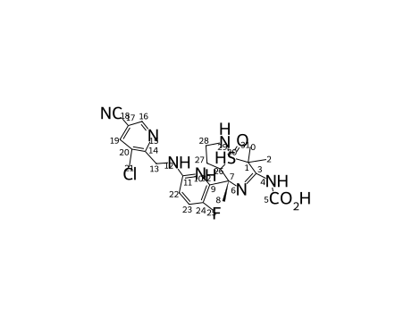 CC1(C)C(NC(=O)O)=N[C@](C)(c2nc(NCc3ncc(C#N)cc3Cl)ccc2F)[C@H]2CCN[SH]21=O